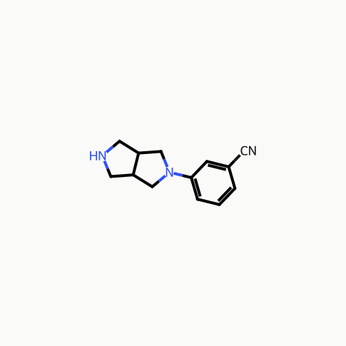 N#Cc1cccc(N2CC3CNCC3C2)c1